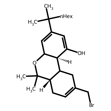 CCCCCCC(C)(C)C1=CC2OC(C)(C)[C@H]3CC=C(CBr)CC3[C@@H]2C(O)=C1